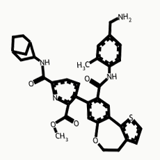 COC(=O)c1nc(C(=O)NC2CC3CCC2C3)ccc1-c1cc2c(cc1C(=O)Nc1ccc(CN)cc1C)-c1sccc1CCO2